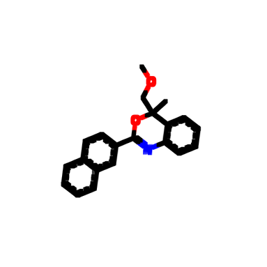 COCC1(C)OC(c2ccc3ccccc3c2)=Nc2ccccc21